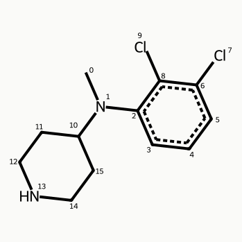 CN(c1cccc(Cl)c1Cl)C1CCNCC1